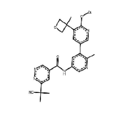 CCOc1ncc(-c2cc(NC(=O)c3cnnc(C(C)(C)C#N)c3)cnc2C)cc1C1(C)COC1